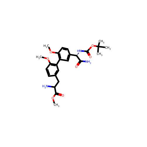 COC(=O)C(N)Cc1ccc(OC)c(-c2cc([C@H](NC(=O)OC(C)(C)C)C(N)=O)ccc2OC)c1